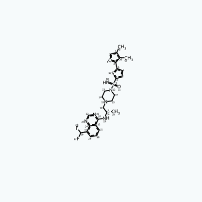 Cc1coc(-c2ccc(S(=N)(=O)N3CCN(C[C@H](C)Nc4ncnc5c(C(F)F)cccc45)CC3)s2)c1C